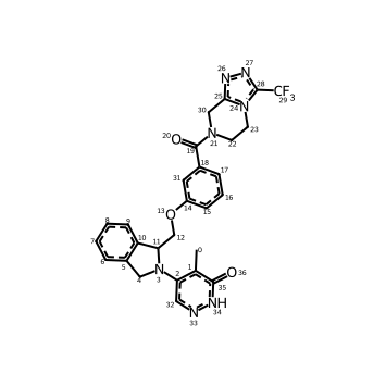 Cc1c(N2Cc3ccccc3C2COc2cccc(C(=O)N3CCn4c(nnc4C(F)(F)F)C3)c2)cn[nH]c1=O